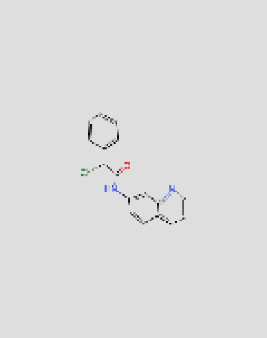 O=C(Nc1ccc2cccnc2c1)C(Cl)c1ccccc1